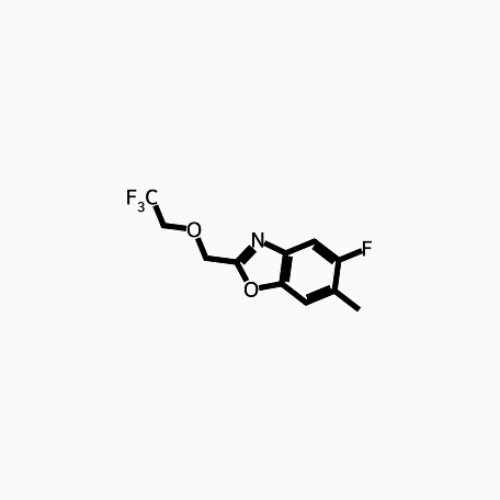 Cc1cc2oc(COCC(F)(F)F)nc2cc1F